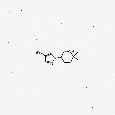 CC(C)c1cnn(C2CCC(C)(C)NC2)c1